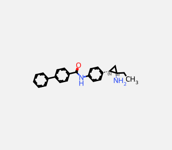 CC[C@]1(N)C[C@H]1c1ccc(NC(=O)c2ccc(-c3ccccc3)cc2)cc1